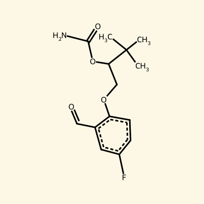 CC(C)(C)C(COc1ccc(F)cc1C=O)OC(N)=O